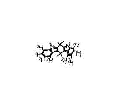 [2H]c1c([2H])c([2H])c2c(c1[2H])c1c(n2C)C(C)(C)c2c(c3c([2H])c([2H])c([2H])c([2H])c3n2C)C1(C)C